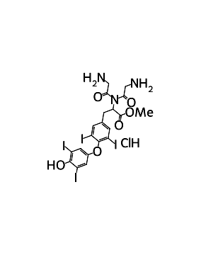 COC(=O)C(Cc1cc(I)c(Oc2cc(I)c(O)c(I)c2)c(I)c1)N(C(=O)CN)C(=O)CN.Cl